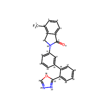 O=C1c2cccc(C(F)(F)F)c2CN1c1cccc(-c2ccccc2-c2nnco2)c1